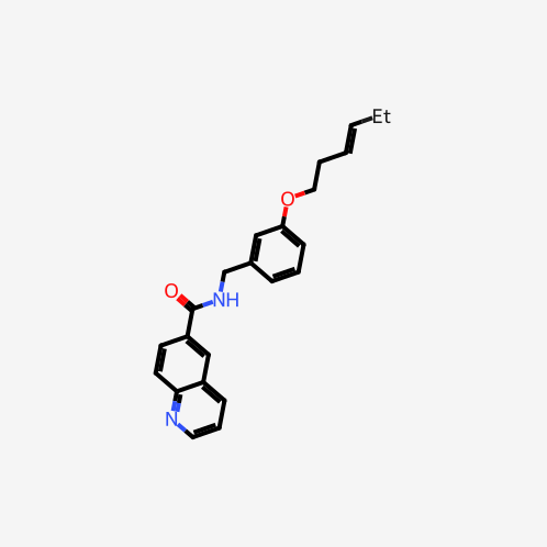 CCC=CCCOc1cccc(CNC(=O)c2ccc3ncccc3c2)c1